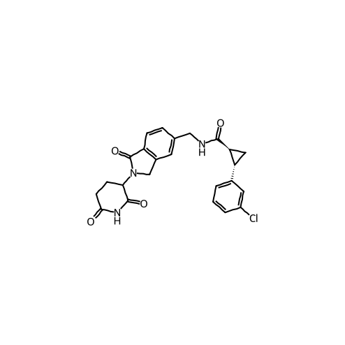 O=C1CCC(N2Cc3cc(CNC(=O)[C@H]4C[C@@H]4c4cccc(Cl)c4)ccc3C2=O)C(=O)N1